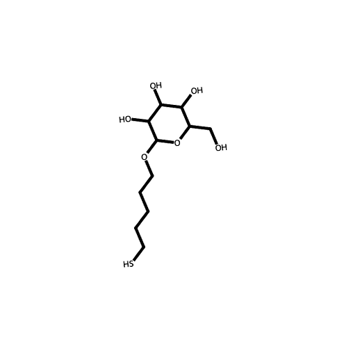 OCC1OC(OCCCCCS)C(O)C(O)C1O